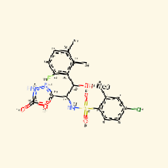 COc1cc(Cl)ccc1S(=O)(=O)NC(c1n[nH]c(=O)o1)C(O)c1c(F)ccc(C)c1C